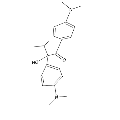 CC(C)C(O)(C(=O)c1ccc(N(C)C)cc1)c1ccc(N(C)C)cc1